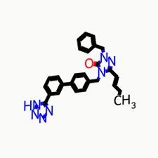 CCC=Cc1nn(Cc2ccccc2)c(=O)n1Cc1ccc(-c2cccc(-c3nnn[nH]3)c2)cc1